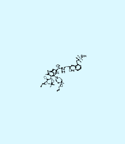 C=CCOC1(C)CCN(c2c([C@H](OC(C)(C)C)C(=O)OCC)c(C)nc3cc(C(=O)NCC(O)Cc4ccccc4CC(C)(C)[Si](C)(C)O)nn23)CC1